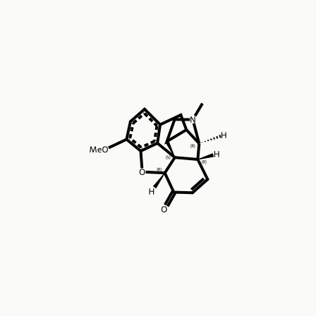 COc1ccc2c3c1O[C@H]1C(=O)C=C[C@H]4[C@H]5C(C2)C(CN5C)[C@]314